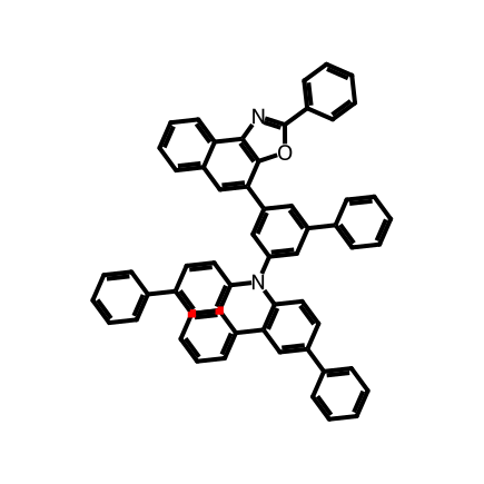 c1ccc(-c2ccc(N(c3cc(-c4ccccc4)cc(-c4cc5ccccc5c5nc(-c6ccccc6)oc45)c3)c3ccc(-c4ccccc4)cc3-c3ccccc3)cc2)cc1